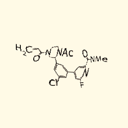 C=CC(=O)N1CCN(C(C)=O)[C@@H](c2cc(Cl)cc(-c3cc(F)nc(C(=O)NC)c3)c2)C1